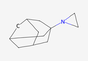 C1C2CC3CC1CC(N1CC1)(C2)C3